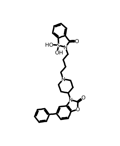 O=C1c2ccccc2S(O)(O)N1CCCCN1CCC(n2c(=O)oc3ccc(-c4ccccc4)cc32)CC1